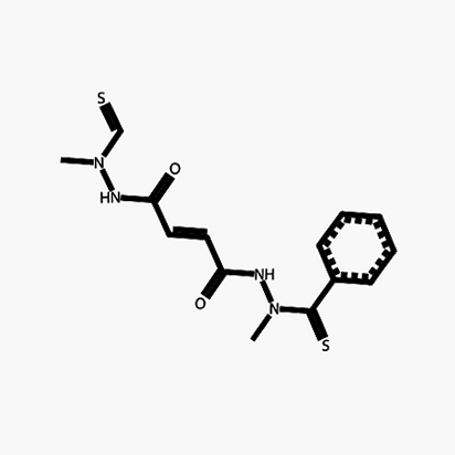 CN(C=S)NC(=O)/C=C/C(=O)NN(C)C(=S)c1ccccc1